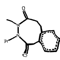 CC(C)N1C(=O)c2ccccc2CC(=O)N1C